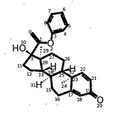 C=C(Oc1ccccc1)[C@@]1(O)CC[C@H]2[C@@H]3CCC4=CC(=O)C=C[C@]4(C)[C@H]3CC[C@@]21C